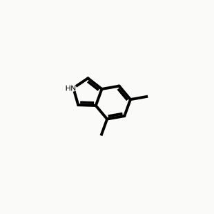 Cc1cc(C)c2c[nH]cc2c1